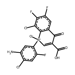 Nc1cc([N+]2([O-])C=C(C(=O)O)C(=O)c3cc(F)c(F)c(Cl)c32)c(F)cc1Cl